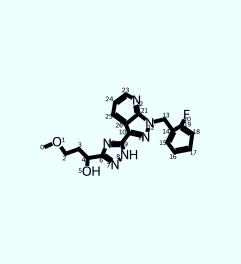 COCCC(O)c1n[nH]c(-c2nn(Cc3ccccc3F)c3ncccc23)n1